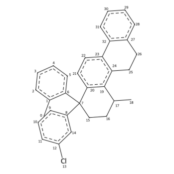 Cc1ccccc1C1(c2cccc(Cl)c2)CCC(C)c2c1ccc1c2CCc2ccccc2-1